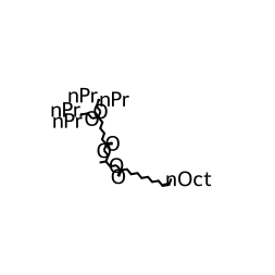 CCCCCCCC/C=C\CCCCCCCC(=O)OCC(C)COC(=O)CCCCC(OCC(CCC)CCC)OCC(CCC)CCC